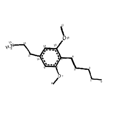 CCCCCc1c(OC)cc(CCN)cc1OC